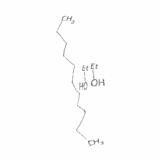 CCCCCCCCCCC.CCO.CCO